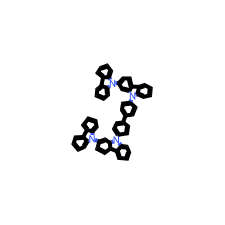 C1=CC2c3ccccc3N(c3ccc(-c4ccc(-n5c6ccccc6c6ccc(-n7c8ccccc8c8ccccc87)cc65)cc4)cc3)C2C=C1n1c2ccccc2c2ccccc21